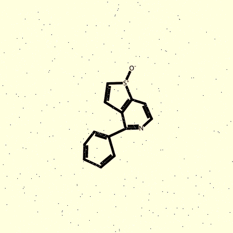 [O-][s+]1ccc2c(-c3ccccc3)nccc21